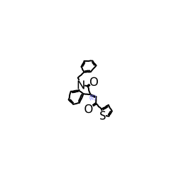 O=C(/C=C1/C(=O)N(Cc2ccccc2)c2ccccc21)c1cccs1